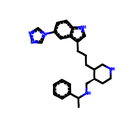 CC(NC[C@@H]1CCNCC1CCCc1c[nH]c2ccc(-n3cnnc3)cc12)c1ccccc1